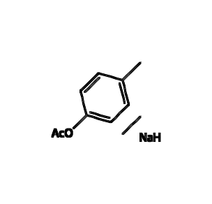 CC.CC(=O)Oc1ccc(C)cc1.[NaH]